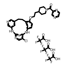 O=C(O)C(F)(F)F.O=C(O)C(F)(F)F.O=C(O)C(F)(F)F.O=C(c1cnccn1)N1CCC(CCOc2ccc3cc2CCc2cncc(c2)Nc2ncc(Cl)c(n2)N3)CC1